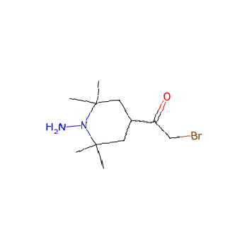 CC1(C)CC(C(=O)CBr)CC(C)(C)N1N